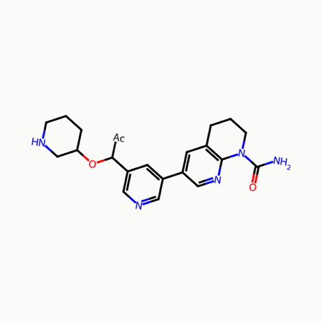 CC(=O)C(OC1CCCNC1)c1cncc(-c2cnc3c(c2)CCCN3C(N)=O)c1